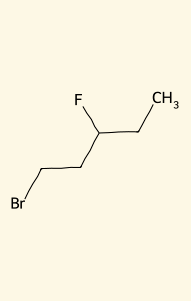 CCC(F)CCBr